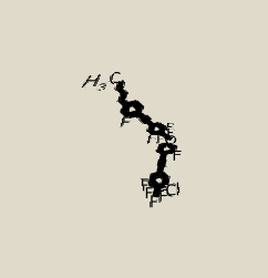 CCCCCc1ccc(C#Cc2cc(F)c(C(F)(F)Oc3ccc(C#Cc4cc(F)c(C(F)(F)F)c(Cl)c4)c(F)c3)c(F)c2)c(F)c1